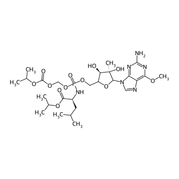 COc1nc(N)nc2c1ncn2C1OC(COP(=O)(N[C@@H](CC(C)C)C(=O)OC(C)C)OCOC(=O)OC(C)C)[C@@H](O)[C@@]1(C)O